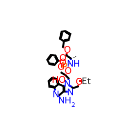 CCOCc1nc2c(N)nc3ccccc3c2n1CC(C)(O)O[P@](=O)(N[C@@H](C)C(=O)OCc1ccccc1)Oc1ccccc1